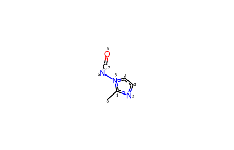 Cc1nccn1N=C=O